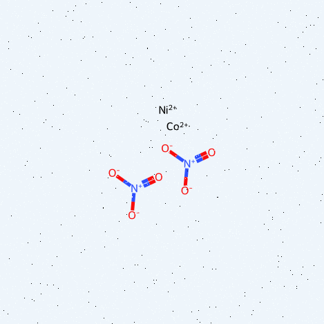 O=[N+]([O-])[O-].O=[N+]([O-])[O-].[Co+2].[Ni+2]